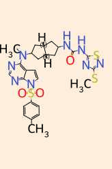 CSc1nsc(NC(=O)NC2C[C@@H]3CC(N(C)c4ncnc5c4ccn5S(=O)(=O)c4ccc(C)cc4)C[C@@H]3C2)n1